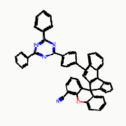 N#Cc1cccc2c1Oc1ccccc1C21c2ccccc2-c2c1cc(-c1ccc(-c3nc(-c4ccccc4)nc(-c4ccccc4)n3)cc1)c1ccccc21